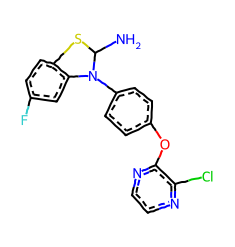 NC1Sc2ccc(F)cc2N1c1ccc(Oc2nccnc2Cl)cc1